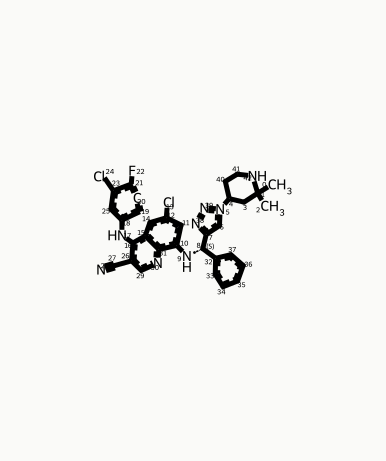 CC1(C)CC(n2cc([C@@H](Nc3cc(Cl)cc4c(Nc5ccc(F)c(Cl)c5)c(C#N)cnc34)c3ccccc3)nn2)CCN1